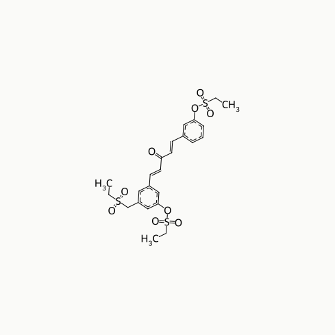 CCS(=O)(=O)Cc1cc(/C=C/C(=O)/C=C/c2cccc(OS(=O)(=O)CC)c2)cc(OS(=O)(=O)CC)c1